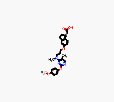 COc1ccc(Oc2ncc(C)c(N(C)CCCOc3ccc4c(c3)CC[C@H]4CC(=O)O)n2)cc1